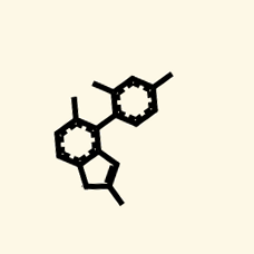 CC1=Cc2c(ccc(C)c2-c2ccc(C)cc2C)[CH]1